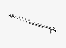 NCCCCCCCCCCCCCCCCCCCCCCCCNC(=S)S